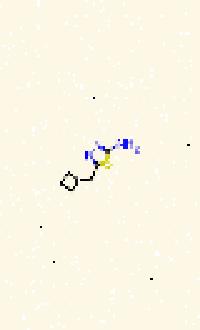 Nc1nnc(CC2CCC2)s1